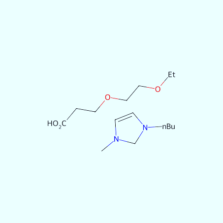 CCCCN1C=CN(C)C1.CCOCCOCCC(=O)O